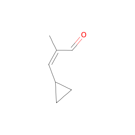 CC(C=O)=CC1CC1